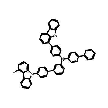 Fc1cccc2c1c1ccccc1n2-c1ccc(-c2cccc(N(c3ccc(-c4ccccc4)cc3)c3ccc(-c4cccc5c4sc4ccccc45)cc3)c2)cc1